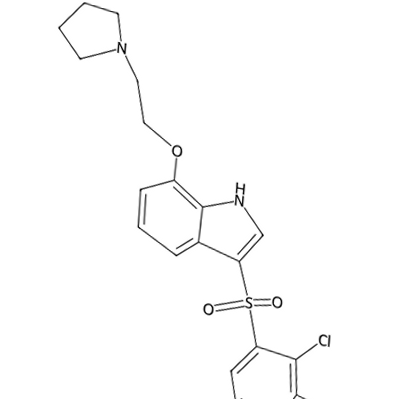 O=S(=O)(c1cccc(Cl)c1Cl)c1c[nH]c2c(OCCN3CCCC3)cccc12